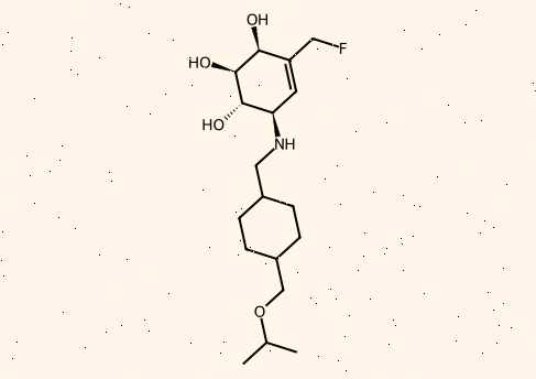 CC(C)OCC1CCC(CN[C@@H]2C=C(CF)[C@H](O)[C@H](O)[C@H]2O)CC1